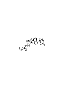 CN(C)c1cccc2c(S(=O)(=O)NCCNOC(=O)C(F)(F)F)cccc12